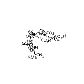 CNC(C)CCC(=O)NC(CSSCC(NC(=O)CCC(C)NC(=O)CN(CCN(CCN(CC(C)=O)CC(=O)O)CC(=O)O)CC(=O)O)C(=O)NCC(C)=O)C(=O)NCC(C)=O